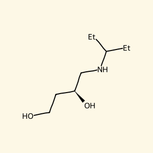 CCC(CC)NC[C@@H](O)CCO